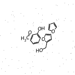 C=O.OCc1ccco1.Oc1ccccc1.c1ccoc1